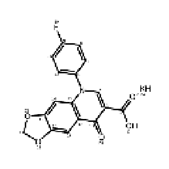 O=C(O)c1cn(-c2ccc(F)cc2)c2cc3c(cc2c1=O)OCO3.[KH]